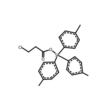 Cc1ccc([Si](OC(=O)CCCl)(c2ccc(C)cc2)c2ccc(C)cc2)cc1